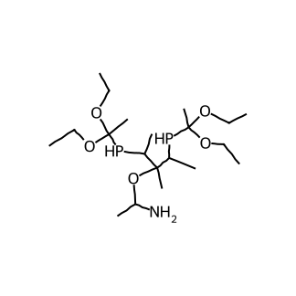 CCOC(C)(OCC)PC(C)C(C)(OC(C)N)C(C)PC(C)(OCC)OCC